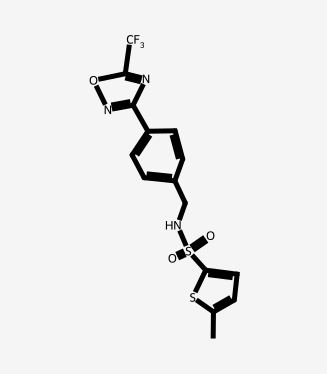 Cc1ccc(S(=O)(=O)NCc2ccc(-c3noc(C(F)(F)F)n3)cc2)s1